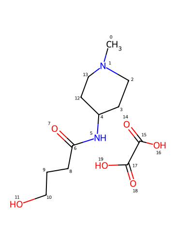 CN1CCC(NC(=O)CCCO)CC1.O=C(O)C(=O)O